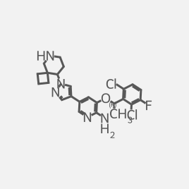 C[C@@H](Oc1cc(-c2cnn(C3CCNCC34CCC4)c2)cnc1N)c1c(Cl)ccc(F)c1Cl